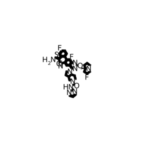 N#Cc1c(N)sc2c(F)ccc(-c3c(Cl)cc4c(N5CCC6CN(C(=O)Nc7ncccn7)CCC65)nc(OC[C@@]56CCCN5C[C@H](F)C6)nc4c3F)c12